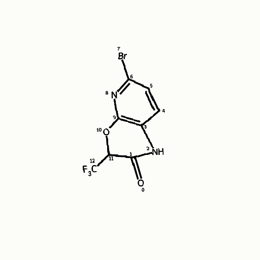 O=C1Nc2ccc(Br)nc2OC1C(F)(F)F